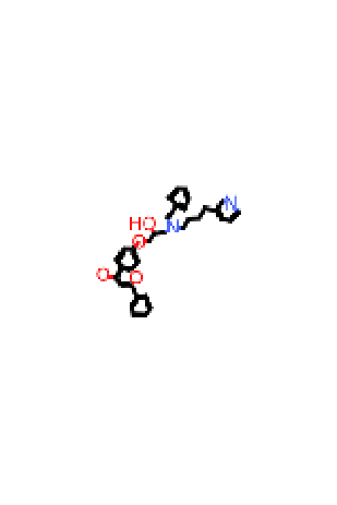 O=c1cc(-c2ccccc2)oc2cc(OCC(O)CN(CCCCc3cccnc3)Cc3ccccc3)ccc12